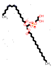 CCCCC/C=C\C/C=C\CCCCCCCC(=O)O[C@H](COC(=O)CCCCCCCCCCCCCCCC)COP(=O)(O)OC[C@@H](O)CO